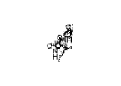 CC#C[C@H](C)Oc1cc(N)c(Cl)cc1C(=O)NC1CC2C[C@H](OC)C(C1)N2C